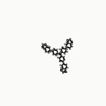 c1nc2ccc(-c3ccc(N(c4ccc(-c5ccc6ncoc6c5)cc4)c4ccc(-c5ccc6ncoc6c5)cc4)cc3)cc2o1